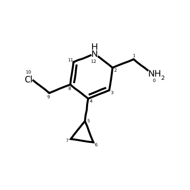 NCC1C=C(C2CC2)C(CCl)=CN1